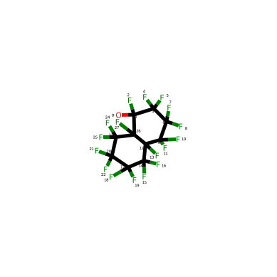 [O]C1(F)C(F)(F)C(F)(F)C(F)(F)C2(F)C(F)(F)C(F)(F)C(F)(F)C(F)(F)C12F